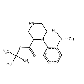 CC(C)(C)OC(=O)C1CNCCN1c1ccccc1B(O)O